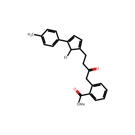 CCC1C(CCC(=O)Cc2ccccc2C(=O)OC)=CC=C1c1ccc(C)cc1